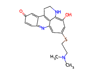 CN(C)CCSc1cc(O)c2c3c(c4cc(=O)ccc4nc3c1)CCN2